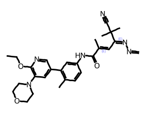 C=N/N=C(\C=C(/C)C(=O)Nc1ccc(C)c(-c2cnc(OCC)c(N3CCOCC3)c2)c1)C(C)(C)C#N